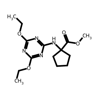 CCOc1nc(NC2(C(=O)OC)CCCC2)nc(OCC)n1